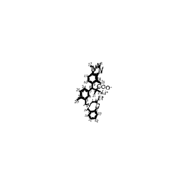 CC[C@@H]1CN(Cc2cc(C(c3ccc4c(nnn4C)c3C)C(C)(C)C(=O)[O-])ccc2C)Cc2ccccc2O1.[Li+]